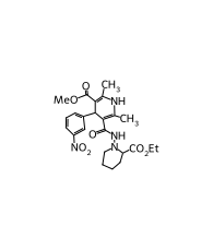 CCOC(=O)C1CCCCN1NC(=O)C1=C(C)NC(C)=C(C(=O)OC)C1c1cccc([N+](=O)[O-])c1